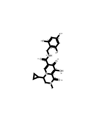 CN1CC(C2CC2)n2cc(C(=O)NCc3c(F)cc(F)cc3F)c(=O)c(O)c2C1=O